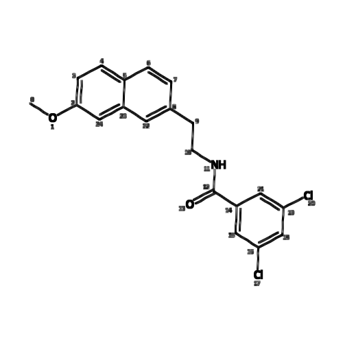 COc1ccc2ccc(CCNC(=O)c3cc(Cl)cc(Cl)c3)cc2c1